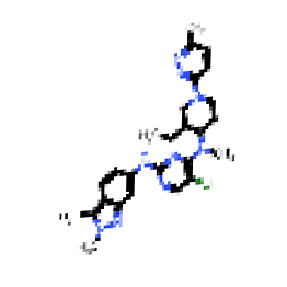 CCC1CN(c2ccc(C)nn2)CCC1N(C)c1nc(Nc2ccc3c(C)n(C)nc3c2)ncc1Cl